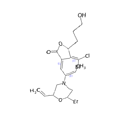 C=CC1CN(C(/C=C2/C(=O)OC(CCCO)/C2=C(/C)Cl)=C/CC)CC(CC)O1